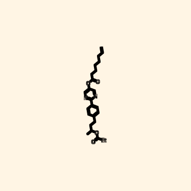 C=CCCCCCC(=O)Oc1cnc(-c2ccc(CCC(C)OC(=O)CC)cc2)nc1